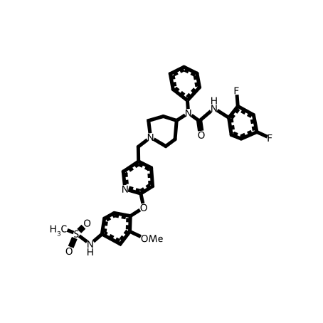 COc1cc(NS(C)(=O)=O)ccc1Oc1ccc(CN2CCC(N(C(=O)Nc3ccc(F)cc3F)c3ccccc3)CC2)cn1